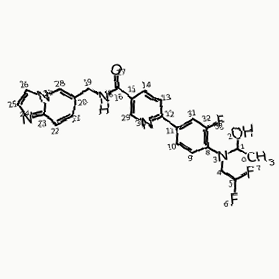 CC(O)N(CC(F)F)c1ccc(-c2ccc(C(=O)NCc3ccc4nccn4c3)cn2)cc1F